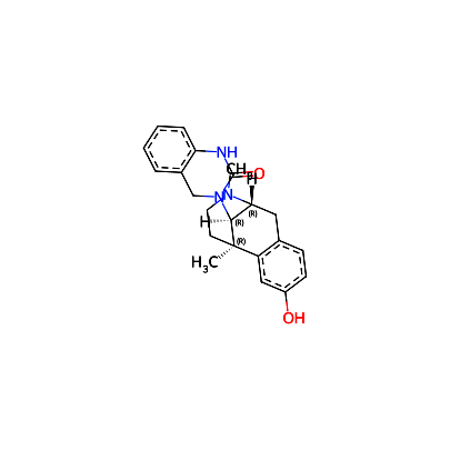 CN1CC[C@]2(C)c3cc(O)ccc3C[C@@H]1[C@@H]2N1Cc2ccccc2NC1=O